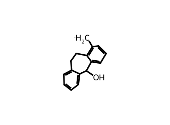 [CH2]c1cccc2c1CCc1ccccc1C2O